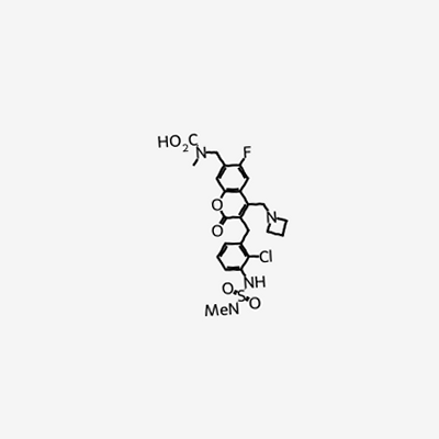 CNS(=O)(=O)Nc1cccc(Cc2c(CN3CCC3)c3cc(F)c(CN(C)C(=O)O)cc3oc2=O)c1Cl